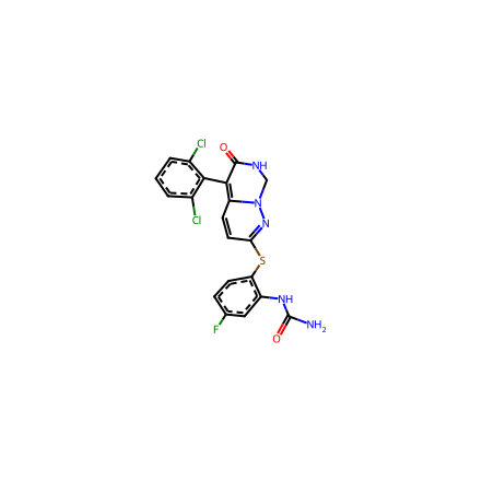 NC(=O)Nc1cc(F)ccc1SC1=NN2CNC(=O)C(c3c(Cl)cccc3Cl)=C2C=C1